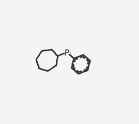 c1ccc([P]C2CCCCCC2)cc1